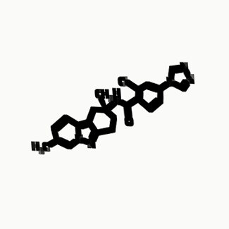 Cc1ccc2c3c(nn2c1)CC[C@@](C)(NC(=O)c1ccc(-n2cnnc2)cc1Cl)C3